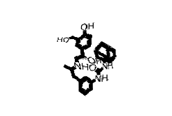 CC(Cc1cccc(NC(=O)NC23CC4CC(CC(C4)C2)C3)c1)NC[C@@H](O)c1ccc(O)c(CO)c1